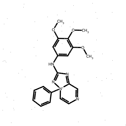 COc1cc(NC2=N[N+]3(c4ccccc4)C=CN=CC3=N2)cc(OC)c1OC